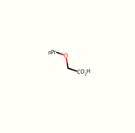 [CH2]CCOCC(=O)O